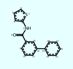 O=C(Nc1cccs1)c1cccc(-c2ccccc2)c1